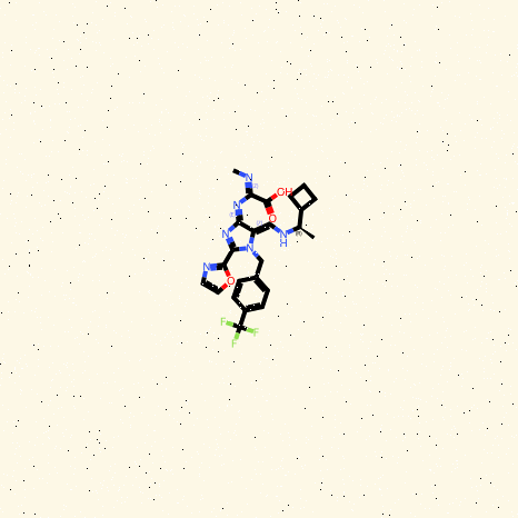 C\N=C(/N=C1/N=C(c2ncco2)N(Cc2ccc(C(F)(F)F)cc2)/C1=C\N[C@H](C)C1CCC1)C(=O)O